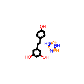 Oc1ccc(C=Cc2cc(O)cc(O)c2)cc1.n1p[nH][pH][nH][pH]1